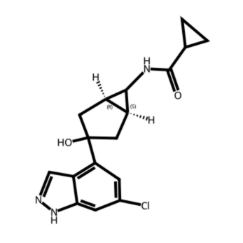 O=C(NC1[C@H]2CC(O)(c3cc(Cl)cc4[nH]ncc34)C[C@@H]12)C1CC1